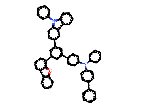 c1ccc(-c2ccc(N(c3ccccc3)c3ccc(-c4cc(-c5ccc6c(c5)c5ccccc5n6-c5ccccc5)cc(-c5cccc6c5oc5ccccc56)c4)cc3)cc2)cc1